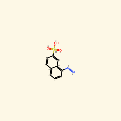 N=Nc1cccc2ccc(S(=O)(=O)O)cc12